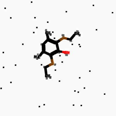 CCSc1c(C)cc(C)c(SCC)c1O